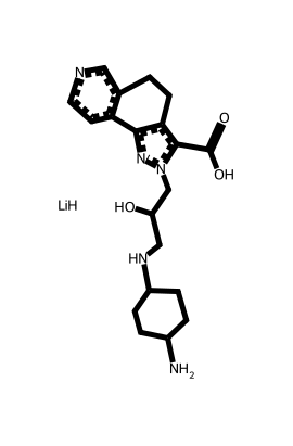 NC1CCC(NCC(O)Cn2nc3c(c2C(=O)O)CCc2cnccc2-3)CC1.[LiH]